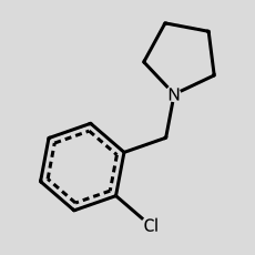 Clc1ccccc1CN1CCCC1